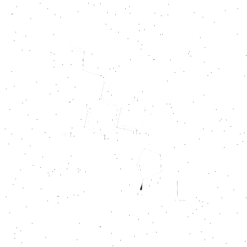 C=CCSc1nc(N)nc2c1ncn2[C@@H]1C[C@H](CO)[C@@H](O)C1